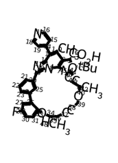 Cc1c([C@H](OC(C)(C)C)C(=O)O)c2n3cc(nc3c1-c1ccncc1)-c1cccc(c1)-c1cc(F)ccc1O[C@@H](C)CCCCOC1(C)CCN2CC1